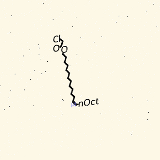 CCCCCCCC/C=C\CCCCCCCCCCCCOC(=O)CCl